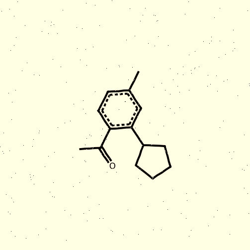 CC(=O)c1ccc(C)cc1C1CCCC1